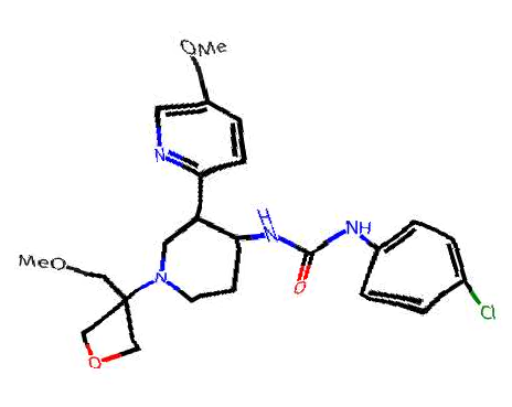 COCC1(N2CCC(NC(=O)Nc3ccc(Cl)cc3)C(c3ccc(OC)cn3)C2)COC1